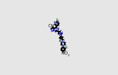 N#Cc1cnn2cc(-c3cnn(C4CC(F)(CN5CCN(c6ccc([N+](=O)[O-])cc6F)CC5)C4)c3)nc(-c3ccc(F)nc3)c12